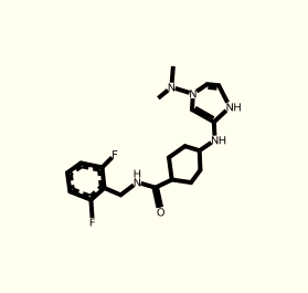 CN(C)N1C=CNC(NC2CCC(C(=O)NCc3c(F)cccc3F)CC2)=C1